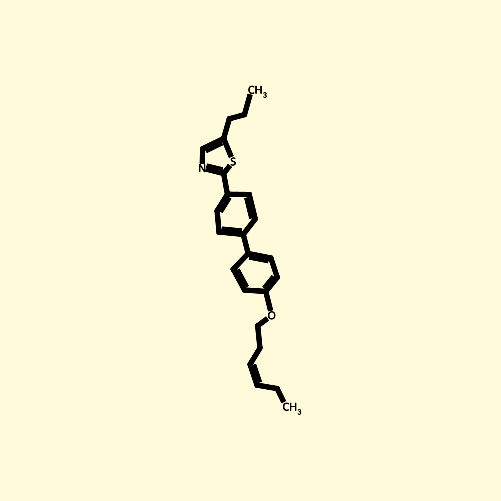 CC/C=C\CCOc1ccc(-c2ccc(-c3ncc(CCC)s3)cc2)cc1